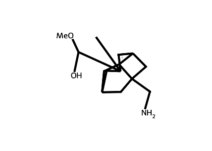 COC(O)C1(C)C=C2CC3(CN)CC(CC23)C1